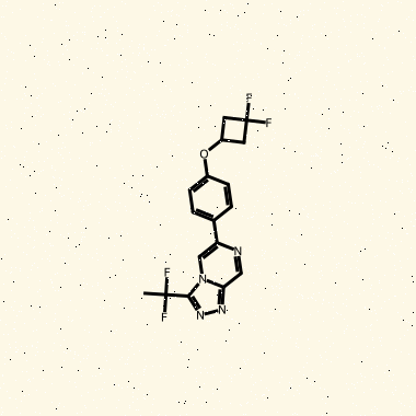 CC(F)(F)c1nnc2cnc(-c3ccc(OC4CC(F)(F)C4)cc3)cn12